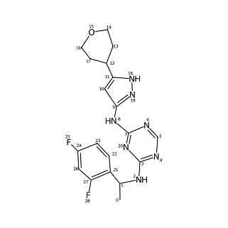 CC(Nc1ncnc(Nc2cc(C3CCOCC3)[nH]n2)n1)c1ccc(F)cc1F